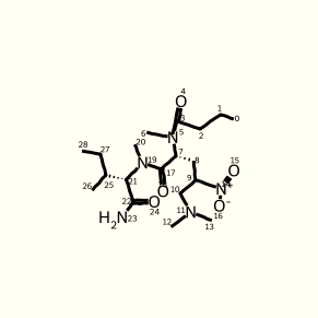 CCCC(=O)N(C)[C@H](CC(CN(C)C)[N+](=O)[O-])C(=O)N(C)[C@H](C(N)=O)C(C)CC